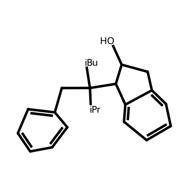 CCC(C)C(Cc1ccccc1)(C(C)C)C1c2ccccc2CC1O